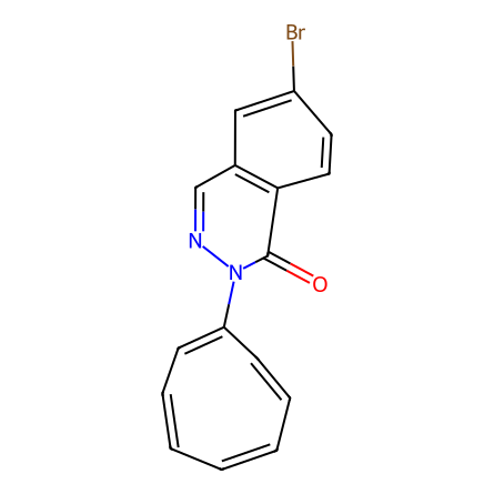 O=c1c2ccc(Br)cc2cnn1C1=C/C=C\C=C/C=C\1